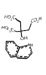 O=C(O)CC(O)(CC(=O)O)C(=O)O.c1ccc2[nH]ccc2c1